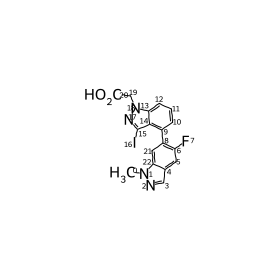 Cn1ncc2cc(F)c(-c3cccc4c3c(I)nn4CC(=O)O)cc21